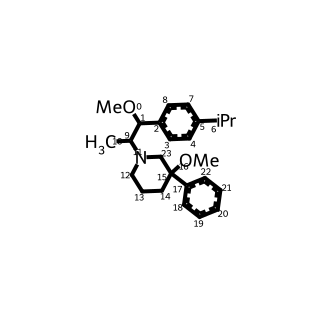 COC(c1ccc(C(C)C)cc1)C(C)N1CCCC(OC)(c2ccccc2)C1